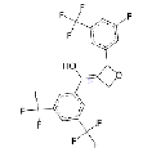 O/C(=C1/COC1c1cc(F)cc(C(F)(F)F)c1)c1cc(C(F)(F)F)cc(C(F)(F)F)c1